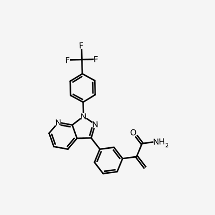 C=C(C(N)=O)c1cccc(-c2nn(-c3ccc(C(F)(F)F)cc3)c3ncccc23)c1